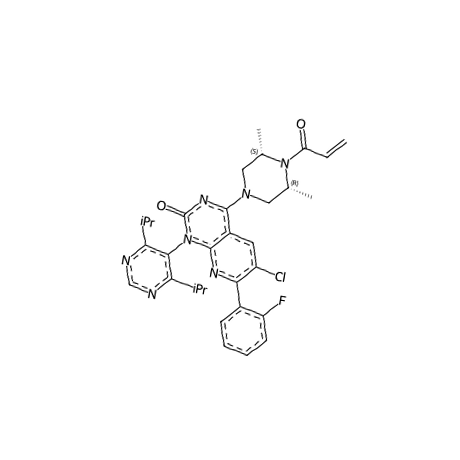 C=CC(=O)N1[C@H](C)CN(c2nc(=O)n(-c3c(C(C)C)ncnc3C(C)C)c3nc(-c4ccccc4F)c(Cl)cc23)C[C@@H]1C